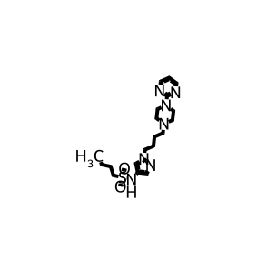 CCCCS(=O)(=O)Nc1cnn(CCCCN2CCN(c3ncccn3)CC2)c1